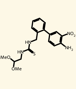 COC(CNC(=S)NCc1ccccc1-c1ccc(N)c([N+](=O)[O-])c1)OC